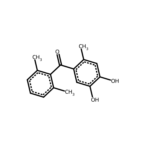 Cc1cc(O)c(O)cc1C(=O)c1c(C)cccc1C